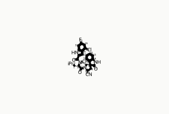 CC(C)C[C@@H](C(=O)N1C[C@]2(C[C@H]1C#N)C(=O)Nc1ccccc12)N(C)C(=O)c1cc2c(Cl)cc(F)cc2[nH]1